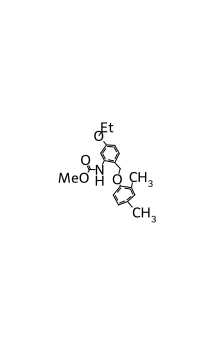 CCOc1ccc(COc2ccc(C)cc2C)c(NC(=O)OC)c1